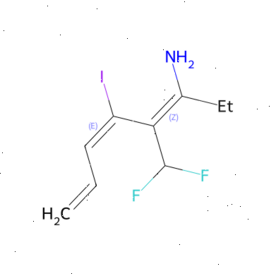 C=C/C=C(I)\C(=C(/N)CC)C(F)F